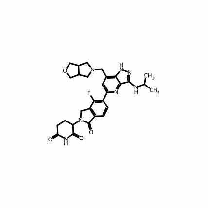 CC(C)Nc1n[nH]c2c(CN3CC4COCC4C3)cc(-c3ccc4c(c3F)CN(C3CCC(=O)NC3=O)C4=O)nc12